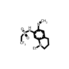 C=Nc1cc2c(cc1NS(=O)(=O)CC(F)(F)F)N(CC)CCC2